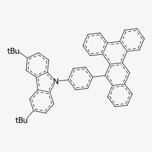 CC(C)(C)c1ccc2c(c1)c1cc(C(C)(C)C)ccc1n2-c1ccc(-c2c3ccccc3cc3c4ccccc4c4ccccc4c23)cc1